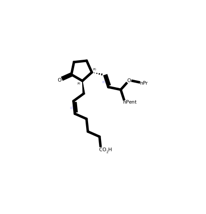 CCCCCC(/C=C/[C@H]1CCC(=O)[C@@H]1C/C=C\CCCC(=O)O)OCCC